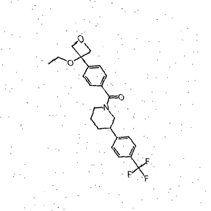 CCOC1(c2ccc(C(=O)N3CCCC(c4ccc(C(F)(F)F)cc4)C3)cc2)COC1